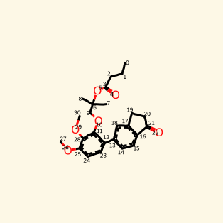 CCCC(=O)OC(C)(C)COc1c(-c2ccc3c(c2)CCC3=O)ccc(OC)c1OC